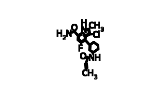 CC#CC(=O)NC1C=C(c2c(F)cc(C(N)=O)c3[nH]c(C)c(Cl)c23)CCC1